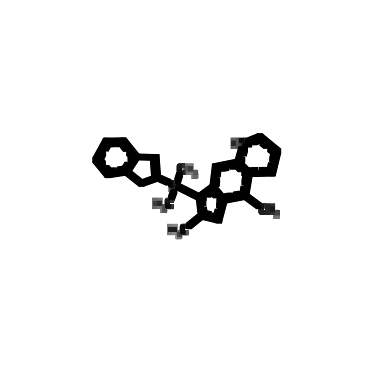 Cc1cc2c(C)c3ccc[nH]c3cc2c1[Si](C)(C)C1=Cc2ccccc2C1